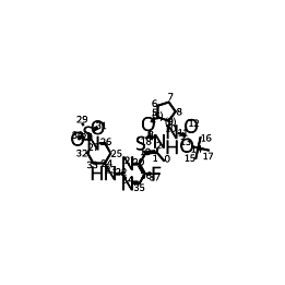 Cc1nc(O[C@H]2CCC[C@@H]2NC(=O)OC(C)(C)C)sc1-c1nc(NC2CCN(S(C)(=O)=O)CC2)ncc1F